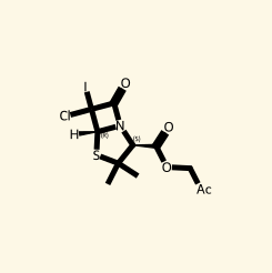 CC(=O)COC(=O)[C@@H]1N2C(=O)C(Cl)(I)[C@H]2SC1(C)C